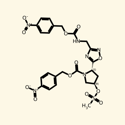 CS(=O)(=O)O[C@@H]1C[C@@H](c2nc(CNC(=O)OCc3ccc([N+](=O)[O-])cc3)no2)N(C(=O)OCc2ccc([N+](=O)[O-])cc2)C1